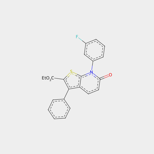 CCOC(=O)c1sc2c(ccc(=O)n2-c2cccc(F)c2)c1-c1ccccc1